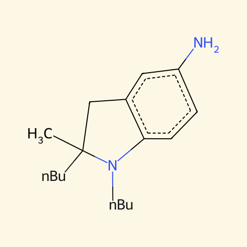 CCCCN1c2ccc(N)cc2CC1(C)CCCC